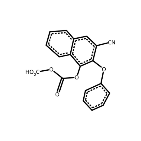 N#Cc1cc2ccccc2c(OC(=O)OC(=O)O)c1Oc1ccccc1